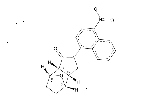 O=C1[C@@H]2[C@H](CN1c1ccc([N+](=O)[O-])c3ccccc13)[C@@H]1CC[C@H]2O1